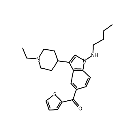 CCCCNn1cc(C2CCN(CC)CC2)c2cc(C(=O)c3cccs3)ccc21